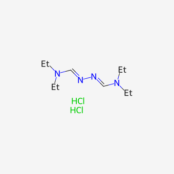 CCN(/C=N/N=C/N(CC)CC)CC.Cl.Cl